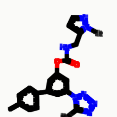 CCn1nccc1CNC(=O)Oc1cc(-c2ccc(C)cc2)cc(-n2nnnc2C(C)C)c1